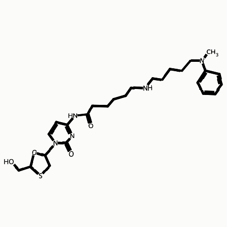 CN(CCCCCNCCCCCC(=O)Nc1ccn(C2CSC(CO)O2)c(=O)n1)c1ccccc1